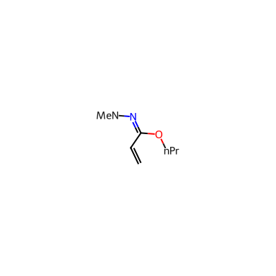 C=C/C(=N\NC)OCCC